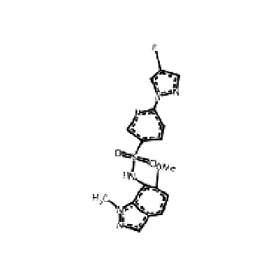 COc1ccc2cnn(C)c2c1NS(=O)(=O)c1ccc(-n2cc(F)cn2)nc1